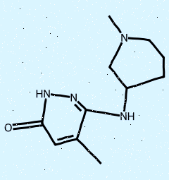 Cc1cc(=O)[nH]nc1NC1CCCN(C)C1